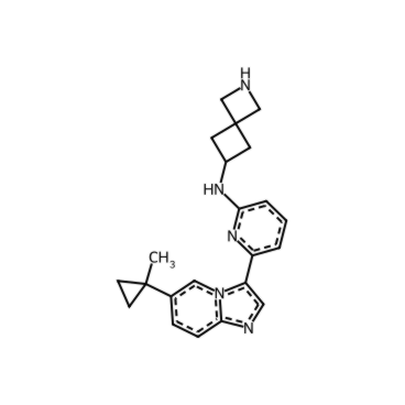 CC1(c2ccc3ncc(-c4cccc(NC5CC6(CNC6)C5)n4)n3c2)CC1